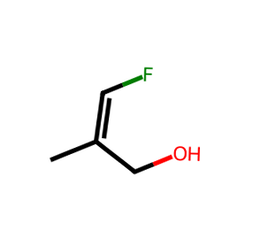 CC(=CF)CO